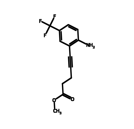 COC(=O)CCC#Cc1cc(C(F)(F)F)ccc1N